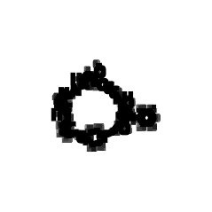 COc1ccc2cc1OCCNC(=O)C(CCc1ccccc1)NC(=O)CN1CCN(CC1)Cc1cccc(c1)Nc1cc(ncn1)N2